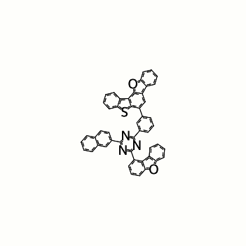 c1cc(-c2nc(-c3ccc4ccccc4c3)nc(-c3cccc4oc5ccccc5c34)n2)cc(-c2cc3c4ccccc4oc3c3c2sc2ccccc23)c1